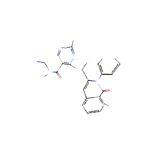 C/C=C\C(=C/C)n1c(C(C)Nc2nc(N)ncc2C(=O)N(C)CN)cc2cccc(Cl)c2c1=O